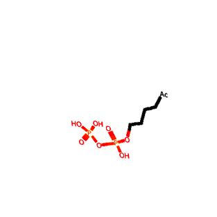 CC(=O)CCCCOP(=O)(O)OP(=O)(O)O